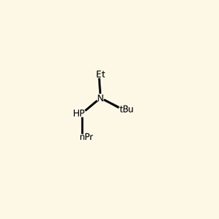 CCCPN(CC)C(C)(C)C